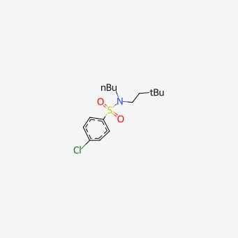 CCCCN(CCC(C)(C)C)S(=O)(=O)c1ccc(Cl)cc1